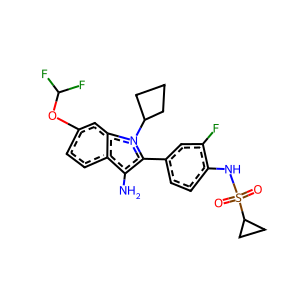 Nc1c(-c2ccc(NS(=O)(=O)C3CC3)c(F)c2)n(C2CCC2)c2cc(OC(F)F)ccc12